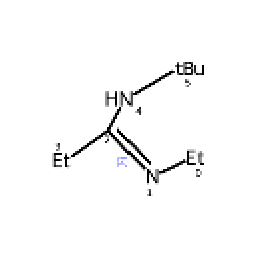 CC/N=C(/CC)NC(C)(C)C